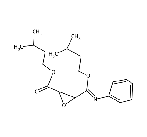 CC(C)CCOC(=O)C1OC1C(=Nc1ccccc1)OCCC(C)C